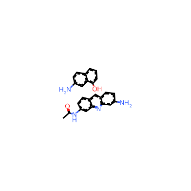 CC(=O)Nc1ccc2cc3ccc(N)cc3nc2c1.Nc1ccc2cccc(O)c2c1